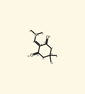 CN(C)C=C1C(=O)CC(C)(C)CC1=O